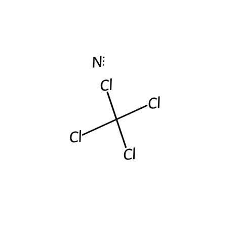 ClC(Cl)(Cl)Cl.[N]